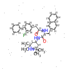 CC1(C)CC(NC(=O)[C@H](Cc2ccc3ccccc3c2)NC(=O)Cc2ccc(-c3ccccc3)c(F)c2)CC(C)(C)N1